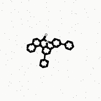 O=c1c2ccc3ccccc3c2c2cc(-c3ccccc3)cc3c4cc(-c5ccccc5)ccc4n1c32